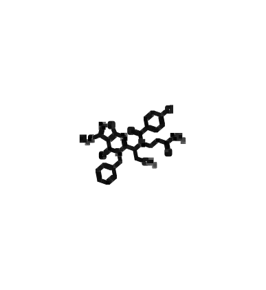 CCC(c1nc2onc(C)c2c(=O)n1Cc1ccccc1)N(CCC(N)=O)C(=O)c1ccc(Cl)cc1